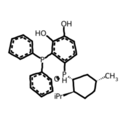 CC(C)[C@@H]1CC[C@@H](C)C[C@H]1[PH](=O)c1ccc(O)c(O)c1P(c1ccccc1)c1ccccc1